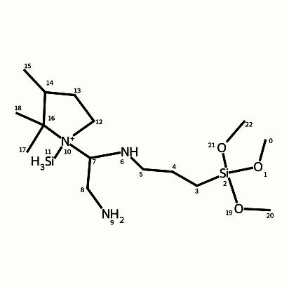 CO[Si](CCCNC(CN)[N+]1([SiH3])CCC(C)C1(C)C)(OC)OC